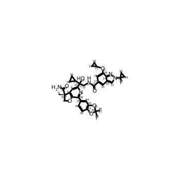 C[C@]1(C(N)=O)COc2c1cc(C(O)(CNC(=O)c1cc(OC3CC3)c3nn(C4(F)CC4)cc3c1)C1CC1)nc2-c1ccc2c(c1)OC(F)(F)O2